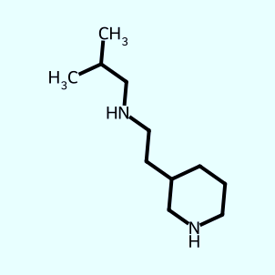 CC(C)CNCCC1CCCNC1